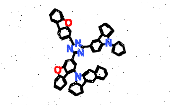 c1ccc(-n2c3ccccc3c3cc(-c4nc(-c5ccc6c(c5)oc5ccccc56)nc(-c5cc(-n6c7ccccc7c7cc8ccccc8cc76)c6c(c5)oc5ccccc56)n4)ccc32)cc1